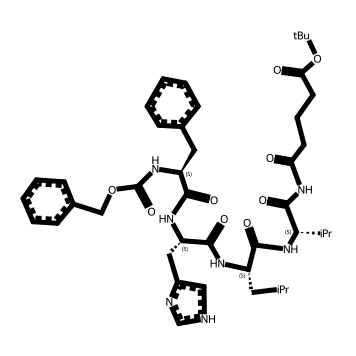 CC(C)C[C@H](NC(=O)[C@H](Cc1c[nH]cn1)NC(=O)[C@H](Cc1ccccc1)NC(=O)OCc1ccccc1)C(=O)N[C@H](C(=O)NC(=O)CCCC(=O)OC(C)(C)C)C(C)C